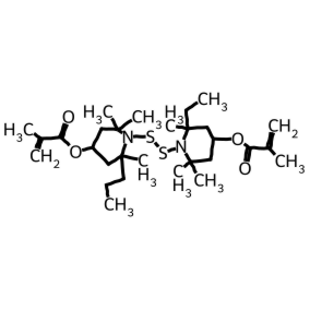 C=C(C)C(=O)OC1CC(C)(C)N(SSN2C(C)(C)CC(OC(=O)C(=C)C)CC2(C)CCC)C(C)(CC)C1